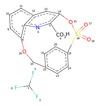 FC(F)F.O=C(O)c1nc2c3cccc2cc1OS(=O)(=O)c1ccc(cc1)CO3